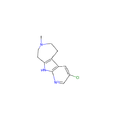 CN1CCc2[nH]c3ncc(Cl)cc3c2CC1